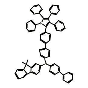 CC1(C)c2ccccc2-c2ccc(N(c3ccc(-c4ccccc4)cc3)c3ccc(-c4ccc(-c5c(-c6ccccc6)c(-c6ccccc6)c(-c6ccccc6)n5-c5ccccc5)cc4)cc3)cc21